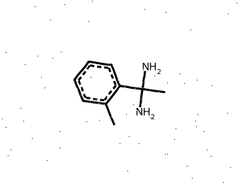 Cc1ccccc1C(C)(N)N